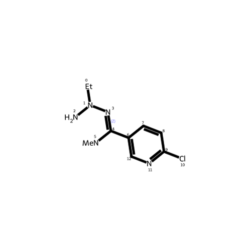 CCN(N)/N=C(\NC)c1ccc(Cl)nc1